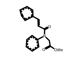 COC(=O)CN(C(=O)/C=C/c1ccccc1)c1ccccc1